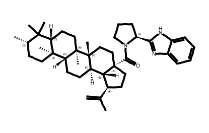 C=C(C)[C@@H]1CC[C@]2(C(=O)N3CCC[C@H]3c3nc4ccccc4[nH]3)CC[C@]3(C)[C@H](CC[C@@H]4[C@@]5(C)CC[C@H](C)C(C)(C)[C@@H]5CC[C@]43C)[C@@H]12